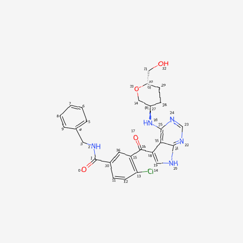 O=C(NCc1ccccc1)c1ccc(Cl)c(C(=O)c2c[nH]c3ncnc(N[C@@H]4CC[C@@H](CO)OC4)c23)c1